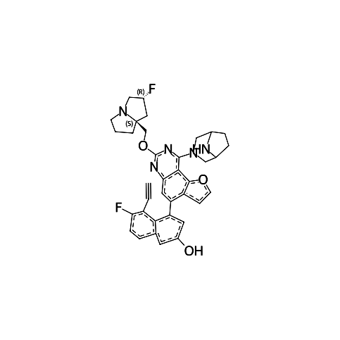 C#Cc1c(F)ccc2cc(O)cc(-c3cc4nc(OC[C@@]56CCCN5C[C@H](F)C6)nc(N5CC6CCC(C5)N6)c4c4occc34)c12